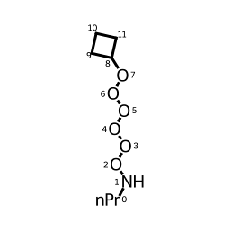 CCCNOOOOOOC1CCC1